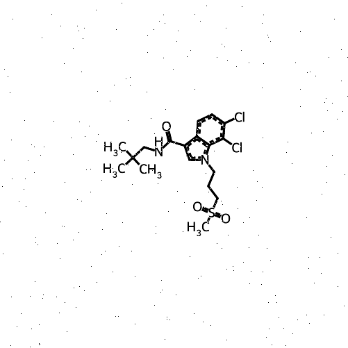 CC(C)(C)CNC(=O)c1cn(CCCS(C)(=O)=O)c2c(Cl)c(Cl)ccc12